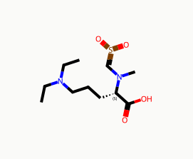 CCN(CC)CCC[C@@H](C(=O)O)N(C)C=S(=O)=O